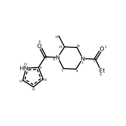 CCC(=O)N1CCN(C(=O)c2ccc[nH]2)C(C)C1